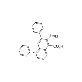 O=Ic1c(-c2ccccc2)cc2c(-c3ccccc3)cccc2c1C(=O)O